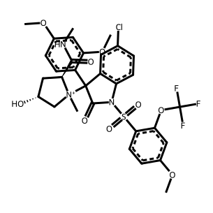 CNC(=O)[C@@H]1C[C@@H](O)C[N+]1(C)C1(c2ccc(OC)cc2OC)C(=O)N(S(=O)(=O)c2ccc(OC)cc2OC(F)(F)F)c2ccc(Cl)cc21